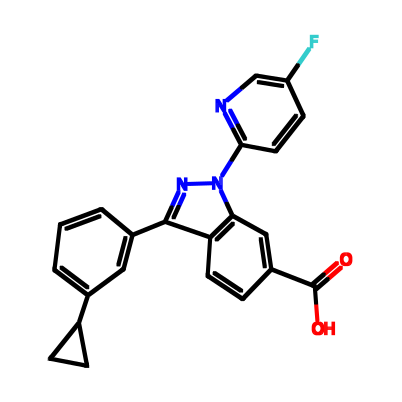 O=C(O)c1ccc2c(-c3cccc(C4CC4)c3)nn(-c3ccc(F)cn3)c2c1